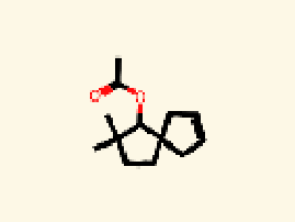 CC(=O)OC1C(C)(C)CCC12CC=CC2